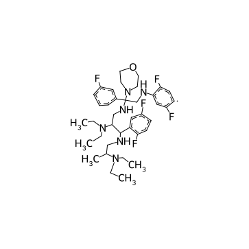 CCN(CC)C(C)CNC(c1cc(F)ccc1F)C(CNC(CNc1cc(F)[c]cc1F)(c1cccc(F)c1)N1CCOCC1)N(CC)CC